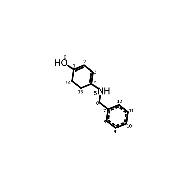 OC1=CC=C(NCc2ccccc2)CC1